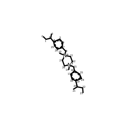 CCC(C)c1ccc(C[N+]2(C)CC[N+](C)(Cc3ccc(C(C)CC)cc3)CC2)cc1